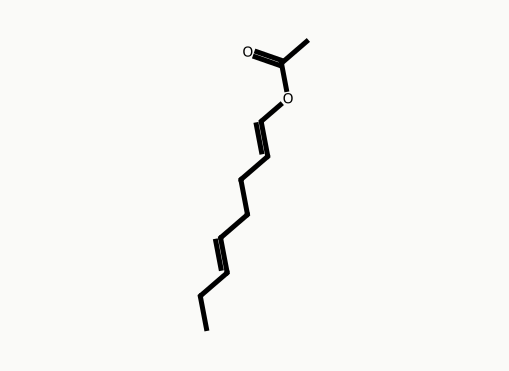 CCC=CCCC=COC(C)=O